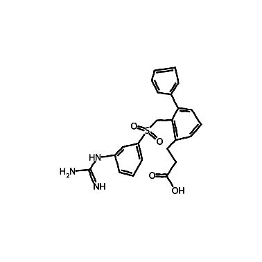 N=C(N)Nc1cccc(S(=O)(=O)Cc2c(CCC(=O)O)cccc2-c2ccccc2)c1